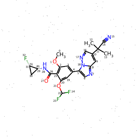 COc1cc(-c2cnc3cc(C(C)(C)C#N)cnn23)cc(OC(F)F)c1C(=O)N[C@@H]1C[C@@H]1F